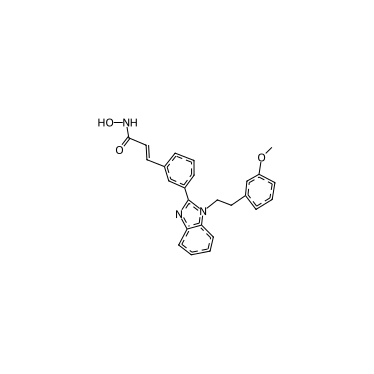 COc1cccc(CCn2c(-c3cccc(/C=C/C(=O)NO)c3)nc3ccccc32)c1